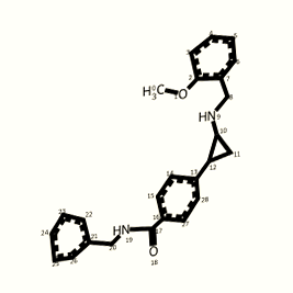 COc1ccccc1CNC1CC1c1ccc(C(=O)NCc2ccccc2)cc1